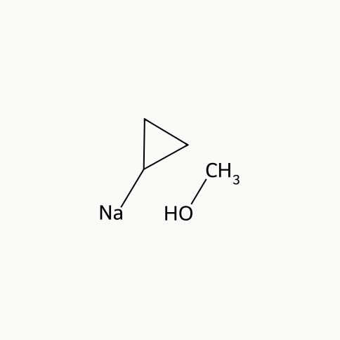 CO.[Na][CH]1CC1